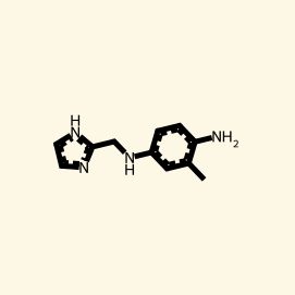 Cc1cc(NCc2ncc[nH]2)ccc1N